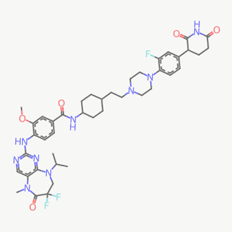 COc1cc(C(=O)NC2CCC(CCN3CCN(c4ccc(C5CCC(=O)NC5=O)cc4F)CC3)CC2)ccc1Nc1ncc2c(n1)N(C(C)C)CC(F)(F)C(=O)N2C